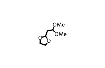 COC(CC1OCCO1)OC